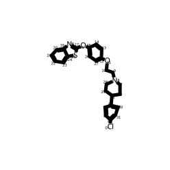 Clc1ccc(C2CCN(CCOc3ccc(Oc4nc5ccccc5s4)cc3)CC2)cc1